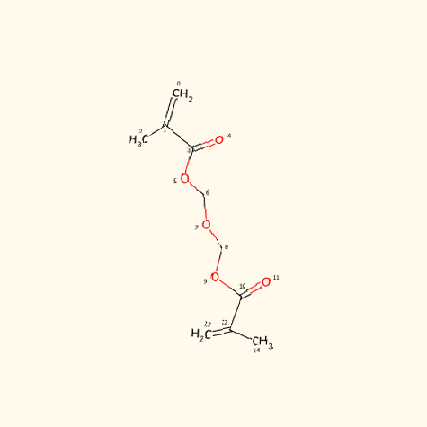 C=C(C)C(=O)OCOCOC(=O)C(=C)C